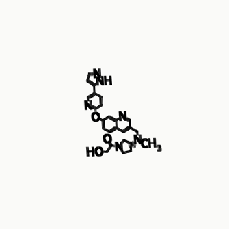 CN(Cc1cnc2cc(Oc3ccc(-c4ccn[nH]4)cn3)ccc2c1)[C@@H]1CCN(C(=O)CO)C1